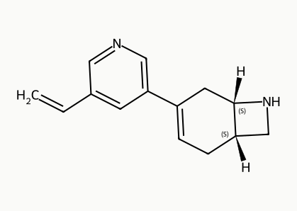 C=Cc1cncc(C2=CC[C@H]3CN[C@H]3C2)c1